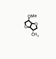 CO[C@@H]1COC2C1OC[C@@H]2C